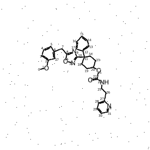 COc1cccc(Cc2nc(C3(c4ccccc4)CCC(OC(=O)NCCc4ccccn4)CC3)no2)c1